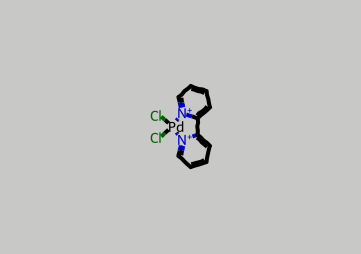 [Cl][Pd]1([Cl])[n+]2ccccc2-c2cccc[n+]21